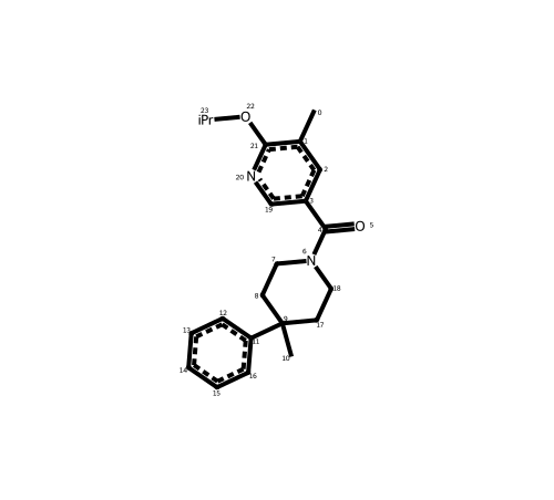 Cc1cc(C(=O)N2CCC(C)(c3ccccc3)CC2)cnc1OC(C)C